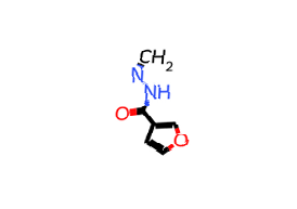 C=NNC(=O)c1ccoc1